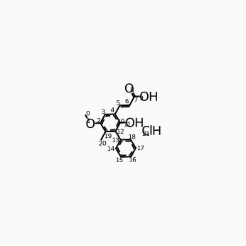 COc1cc(C=CC(=O)O)c(O)c(-c2ccccc2)c1C.Cl